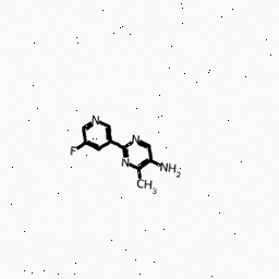 Cc1nc(-c2cncc(F)c2)ncc1N